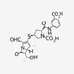 C[C@@H](O)[C@H]1C(=O)N2C(C=O)=C(S[C@H]3C[C@@H](C(=O)Nc4cccc(C(=O)O)c4)N(C(=O)O)C3)[C@H](C)[C@H]12